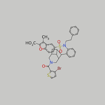 Cc1c(C(=O)O)oc2ccc(S(=O)(=O)N(CCc3ccccc3)c3ccccc3C3C4CC5CN(C(=O)c6sccc6Br)CC3C54)cc12